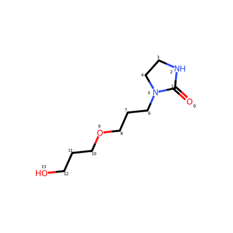 O=C1NCCN1CCCOCCCO